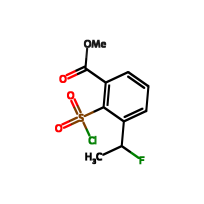 COC(=O)c1cccc(C(C)F)c1S(=O)(=O)Cl